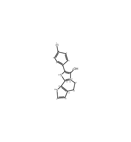 Oc1c(-c2ccc(Cl)cc2)sc2[n+]1CCc1ccsc1-2